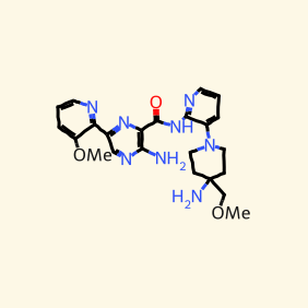 COCC1(N)CCN(c2cccnc2NC(=O)c2nc(-c3ncccc3OC)cnc2N)CC1